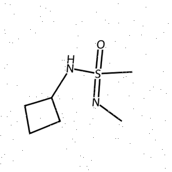 CN=S(C)(=O)NC1CCC1